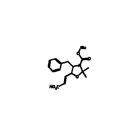 CC(C)(C)OC(=O)N1C(Cc2ccccc2)C(C=CC(=O)O)OC1(C)C